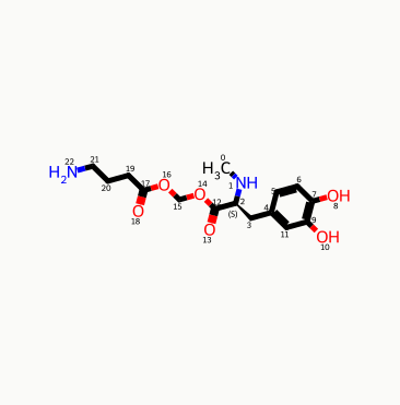 CN[C@@H](Cc1ccc(O)c(O)c1)C(=O)OCOC(=O)CCCN